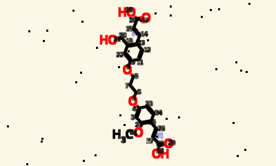 COc1cc(OCCCOc2ccc(/C=C/C(=O)O)c(CO)c2)ccc1/C=C/C(=O)O